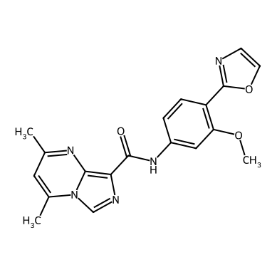 COc1cc(NC(=O)c2ncn3c(C)cc(C)nc23)ccc1-c1ncco1